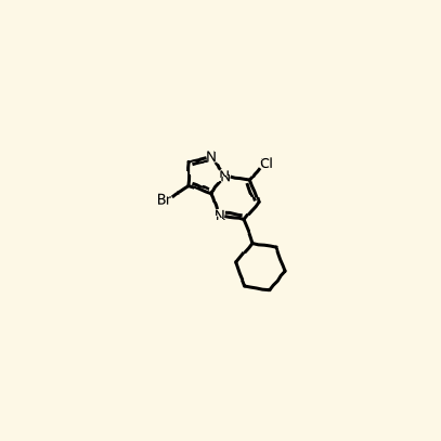 Clc1cc(C2CCCCC2)nc2c(Br)cnn12